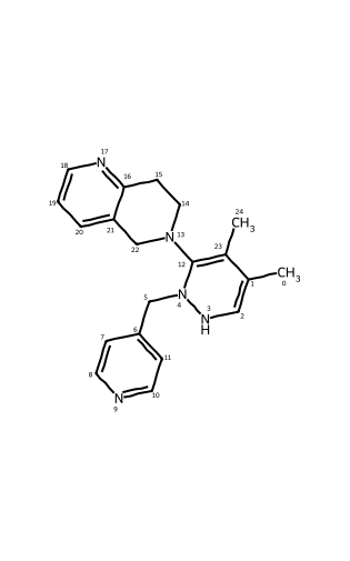 CC1=CNN(Cc2ccncc2)C(N2CCc3ncccc3C2)=C1C